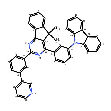 CC1(C)c2ccccc2-c2nc(-c3cccc(-c4cccnc4)c3)nc(-c3cccc(-n4c5ccccc5c5ccccc54)c3)c21